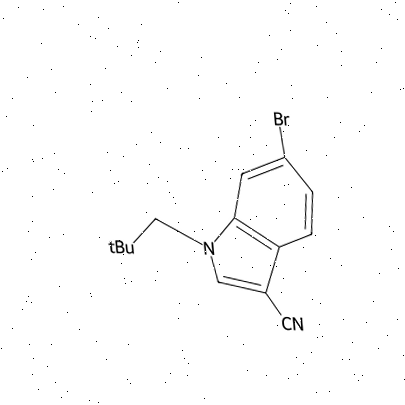 [CH2]C(C)(C)Cn1cc(C#N)c2ccc(Br)cc21